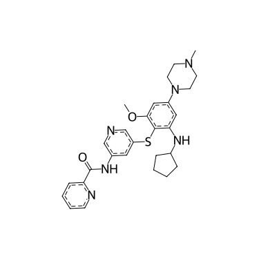 COc1cc(N2CCN(C)CC2)cc(NC2CCCC2)c1Sc1cncc(NC(=O)c2ccccn2)c1